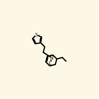 CCC1CC2C=CC1N(CCc1ccsc1)C2